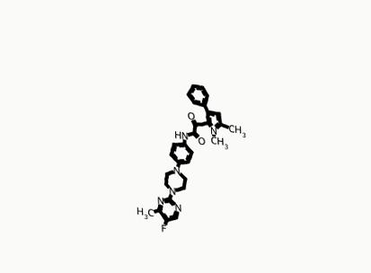 Cc1nc(N2CCN(c3ccc(NC(=O)C(=O)c4c(-c5ccccc5)cc(C)n4C)cc3)CC2)ncc1F